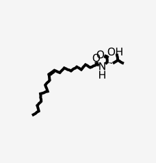 CCCCCCCC/C=C\CCCCCCCC(=O)N[C@@H](CC(C)C)C(=O)O